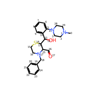 CN1CCN(c2ccccc2C(O)C2SCCN(Cc3ccccc3)C2C=O)CC1